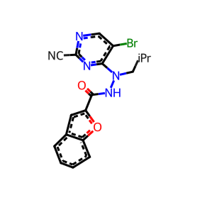 CC(C)CN(NC(=O)c1cc2ccccc2o1)c1nc(C#N)ncc1Br